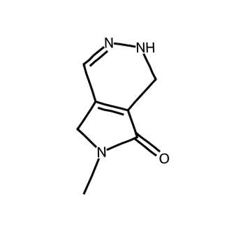 CN1CC2=C(CNN=C2)C1=O